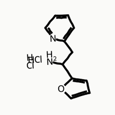 Cl.Cl.NC(Cc1ccccn1)c1ccco1